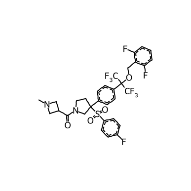 CN1CC(C(=O)N2CCC(c3ccc(C(OCc4c(F)cccc4F)(C(F)(F)F)C(F)(F)F)cc3)(S(=O)(=O)c3ccc(F)cc3)C2)C1